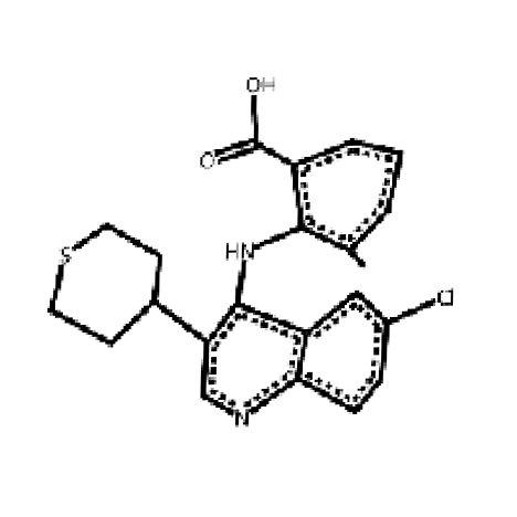 Cc1cccc(C(=O)O)c1Nc1c(C2CCSCC2)cnc2ccc(Cl)cc12